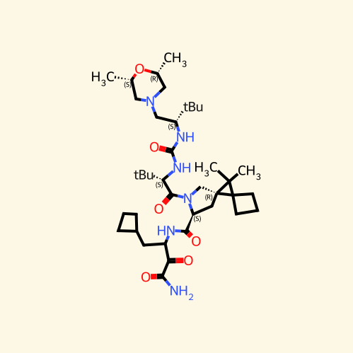 C[C@@H]1CN(C[C@@H](NC(=O)N[C@H](C(=O)N2C[C@]3(C[C@H]2C(=O)NC(CC2CCC2)C(=O)C(N)=O)C(C)(C)C32CCC2)C(C)(C)C)C(C)(C)C)C[C@H](C)O1